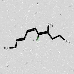 CC/C=C/C=C\C(Cl)=C(/C)CCC